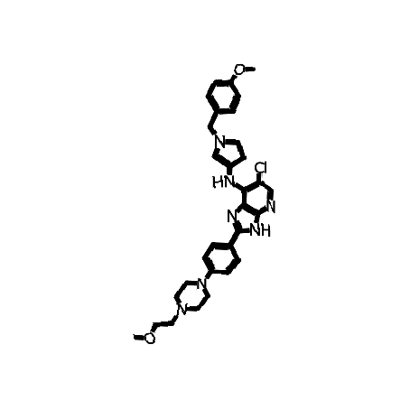 COCCN1CCN(c2ccc(-c3nc4c(NC5=CN(Cc6ccc(OC)cc6)CC5)c(Cl)cnc4[nH]3)cc2)CC1